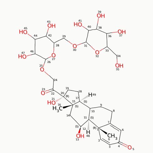 C[C@]12C=CC(=O)C=C1CCC1[C@@H]2[C@@H](O)C[C@@]2(C)[C@H]1CC[C@]2(O)C(=O)COC1OC(COC2OC(CO)C(O)C(O)C2O)C(O)C(O)C1O